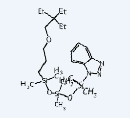 CCC(CC)(CC)COCCC[Si](C)(C)O[Si](C)(C)O[Si](C)(C)n1nnc2ccccc21